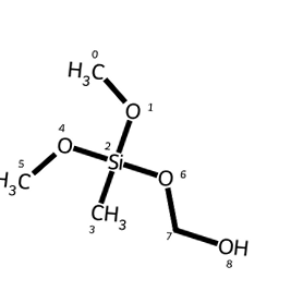 CO[Si](C)(OC)OCO